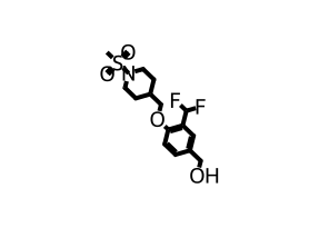 CS(=O)(=O)N1CCC(COc2ccc(CO)cc2C(F)F)CC1